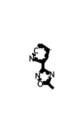 Cc1nc(-c2c[c]ccn2)no1